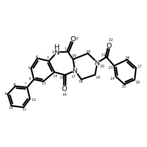 O=C1Nc2ccc(-c3ccccc3)cc2C(=O)N2CCN(C(=O)c3ccccc3)CC12